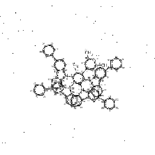 Cc1cc(-c2c(C#N)c(-n3c4ccccc4c4cc(-c5ccccc5)ccc43)c(-n3c4ccccc4c4cc(-c5ccccc5)ccc43)c(-n3c4ccccc4c4cc(-c5ccccc5)ccc43)c2-n2c3ccccc3c3cc(-c4ccccc4)ccc32)cc(C)n1